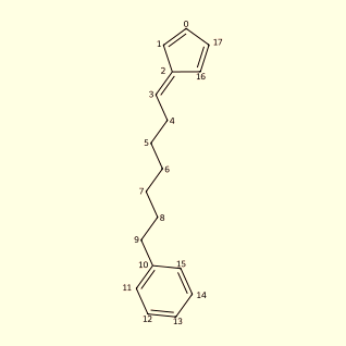 C1=CC(=CCCCCCCc2ccccc2)C=C1